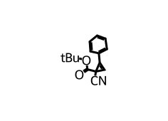 CC(C)(C)OC(=O)C1(C#N)C=C1c1ccccc1